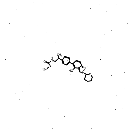 CC(CNC(=O)OC(C)(C)C)c1ccc(-c2ccc3nn(C4CCCCO4)cc3c2O)cc1